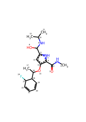 CNC(=O)c1[nH]c(C(O)NC(C)C)cc1OC(C)C1C=CC=CC1F